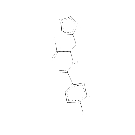 [CH2]c1ccc(C(=O)NC(Cc2cnc[nH]2)C(N)=O)cc1